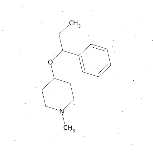 CCC(OC1CCN(C)CC1)c1ccccc1